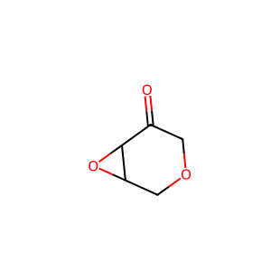 O=C1COCC2OC12